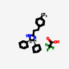 FC(F)(F)c1ccc(CCC2=N[C@H](c3ccccc3)[C@H](c3ccccc3)N2)cc1.O=C(O)C(F)(F)F